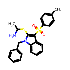 Cc1ccc(S(=O)(=O)c2c(SC(C)N)n(Cc3ccccc3)c3ccccc23)cc1